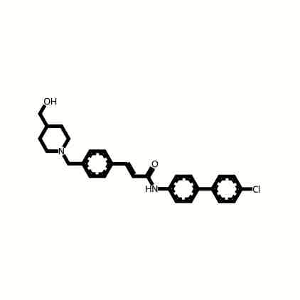 O=C(C=Cc1ccc(CN2CCC(CO)CC2)cc1)Nc1ccc(-c2ccc(Cl)cc2)cc1